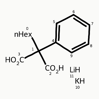 CCCCCCC(C(=O)O)(C(=O)O)c1ccccc1.[KH].[LiH]